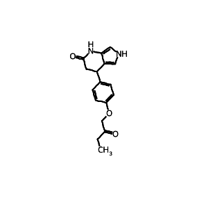 CCC(=O)COc1ccc(C2CC(=O)Nc3c[nH]cc32)cc1